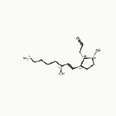 CCCCC[C@H](O)C=C[C@@H]1CC[C@@H](O)[C@H]1CC=O